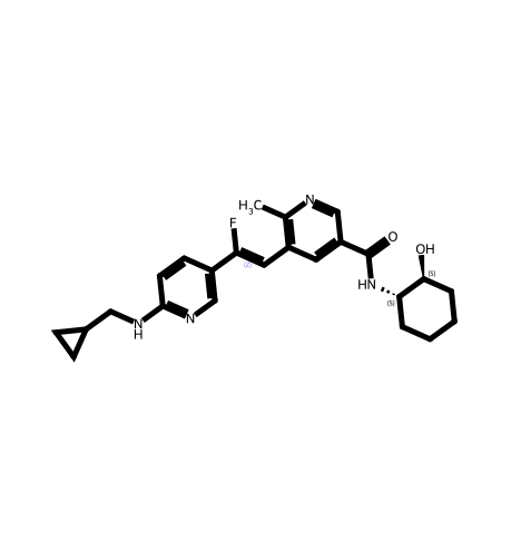 Cc1ncc(C(=O)N[C@H]2CCCC[C@@H]2O)cc1/C=C(\F)c1ccc(NCC2CC2)nc1